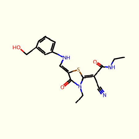 CCNC(=O)C(C#N)=c1sc(=CNc2cccc(CO)c2)c(=O)n1CC